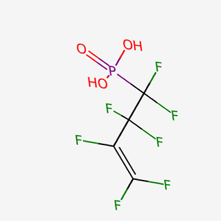 O=P(O)(O)C(F)(F)C(F)(F)C(F)=C(F)F